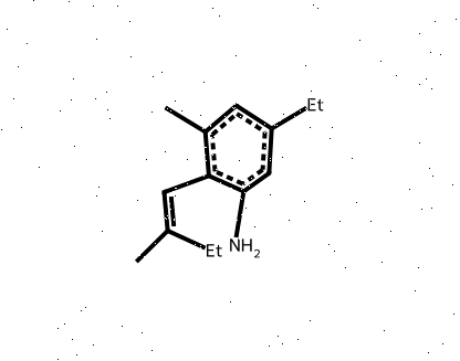 CC/C(C)=C\c1c(C)cc(CC)cc1N